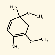 COC1=C(N)C=CC(N)(OC)C1